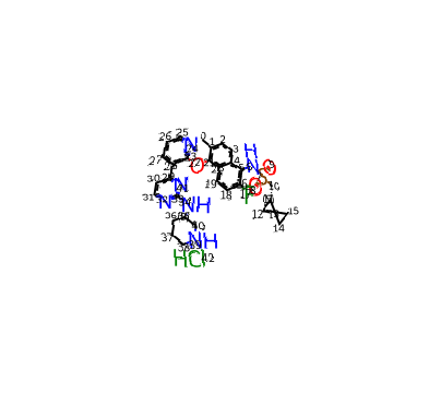 Cc1ccc2c(NS(=O)(=O)C[C@H]3CC34CC4)c(F)ccc2c1Oc1ncccc1-c1ccnc(N[C@H]2CCCNC2)n1.Cl